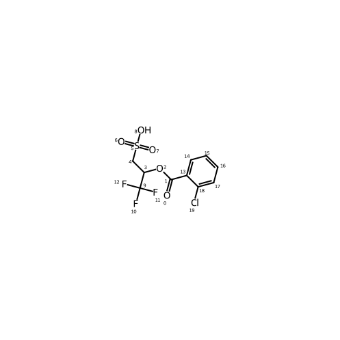 O=C(OC(CS(=O)(=O)O)C(F)(F)F)c1ccccc1Cl